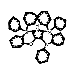 c1ccc(N2c3ccccc3[Si](c3ccccc3)(c3ccccc3)c3[nH]c4c(c32)Oc2ccccc2[Si]4(c2ccccc2)c2ccccc2)cc1